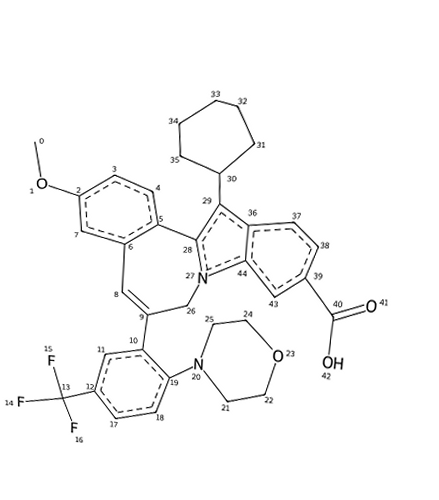 COc1ccc2c(c1)C=C(c1cc(C(F)(F)F)ccc1N1CCOCC1)Cn1c-2c(C2CCCCC2)c2ccc(C(=O)O)cc21